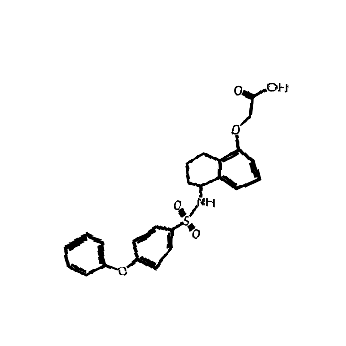 O=C(O)COc1cccc2c1CCCC2NS(=O)(=O)c1ccc(Oc2ccccc2)cc1